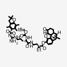 CCN(CCNC(=O)[C@H](CCCN/C(N)=N\S(=O)(=O)c1c(C)c(C)c2c(c1C)CC(C)(C)O2)NC(=O)OC(C)(C)C)C(=O)Oc1ccc2c3c1O[C@H]1C(=O)CCC4[C@@H](C2)N(C)CC[C@@]341